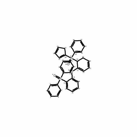 O=P(c1ccccc1)(c1ccccc1)c1ccccc1OC1=CC=CCC1P(=O)(C1=CC=CC1)c1ccccc1